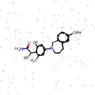 COc1ccc2c(c1)CCCN(c1cc(C)c(C(C(N)=O)C(C)(C)C)c(C)c1)C2